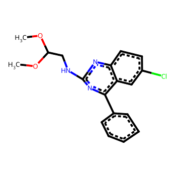 COC(CNc1nc(-c2ccccc2)c2cc(Cl)ccc2n1)OC